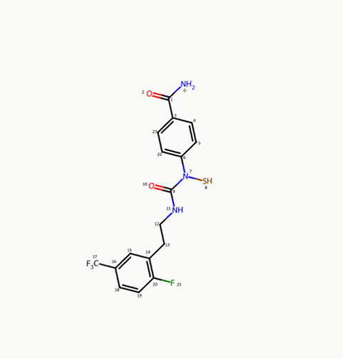 NC(=O)c1ccc(N(S)C(=O)NCCc2cc(C(F)(F)F)ccc2F)cc1